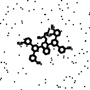 Cc1cccc(-c2cc(C3=c4ccccc4=C(c4cc(-c5cccc(C)c5)cc(-c5cccc(C)c5C)c4)/C(=C/C(=C\CI)C(C)(C)C)C3)cc(-c3cccc(C)c3)c2)c1